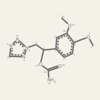 COc1ccc(C(Cn2ncnn2)OC(N)=O)cc1OC